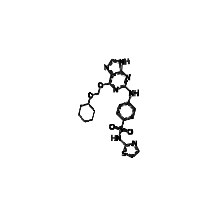 O=S(=O)(Nc1nccs1)c1ccc(Nc2nc(OCOC3CCCCC3)c3nc[nH]c3n2)cc1